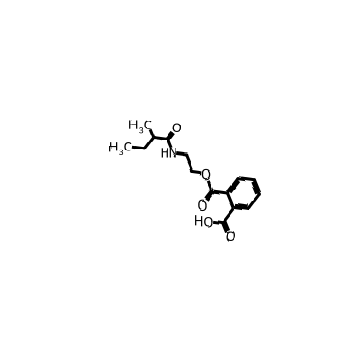 CCC(C)C(=O)NCCOC(=O)c1ccccc1C(=O)O